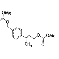 COC(=O)OCC=C(C)c1ccc(COC(=O)OC)cc1